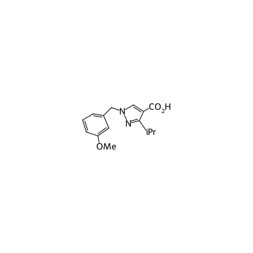 COc1cccc(Cn2cc(C(=O)O)c(C(C)C)n2)c1